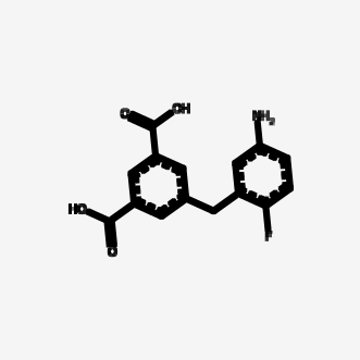 Nc1ccc(F)c(Cc2cc(C(=O)O)cc(C(=O)O)c2)c1